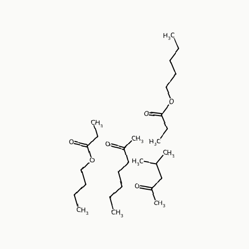 CC(=O)CC(C)C.CCCCCC(C)=O.CCCCCOC(=O)CC.CCCCOC(=O)CC